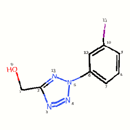 OCc1nnn(-c2cccc(I)c2)n1